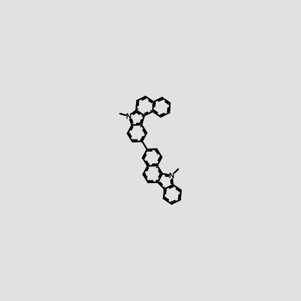 Cn1c2ccc(-c3ccc4c(ccc5c6ccccc6n(C)c45)c3)cc2c2c3ccccc3ccc21